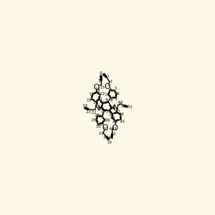 C#CCOc1cccc(-c2c3c4cc(OCC#C)ccc4n(CC#C)c3c(-c3cccc(OCC#C)c3)c3c4cc(OCC#C)ccc4n(CC#C)c23)c1